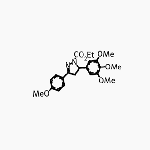 CCOC(=O)N1N=C(c2ccc(OC)cc2)CC1c1cc(OC)c(OC)c(OC)c1